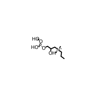 CCC[N+](C)(C)CC(O)COP(O)OO